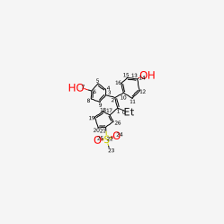 CCC(=C(c1ccc(O)cc1)c1ccc(O)cc1)c1cccc(S(C)(=O)=O)c1